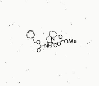 COC(=O)OC1CCC2CC(NC(=O)OCc3ccccc3)C(=O)N21